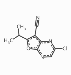 CC(C)c1oc2ncc(Cl)nc2c1C#N